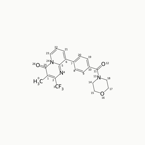 Cc1c(C(F)(F)F)nc2c(-c3ccc(C(=O)N4CCOCC4)cc3)cccn2c1=O